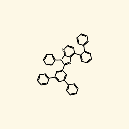 c1ccc(-c2cc(-c3ccccc3)cc(-c3nc4c(-c5ccccc5-c5ccccc5)ccnc4n3-c3ccccc3)c2)cc1